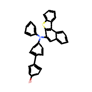 Brc1ccc(-c2ccc(N(c3ccccc3)c3cc4ccccc4c4c3sc3ccccc34)cc2)cc1